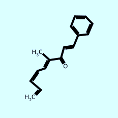 C=C/C=C\C=C(/C)C(=O)/C=C/c1ccccc1